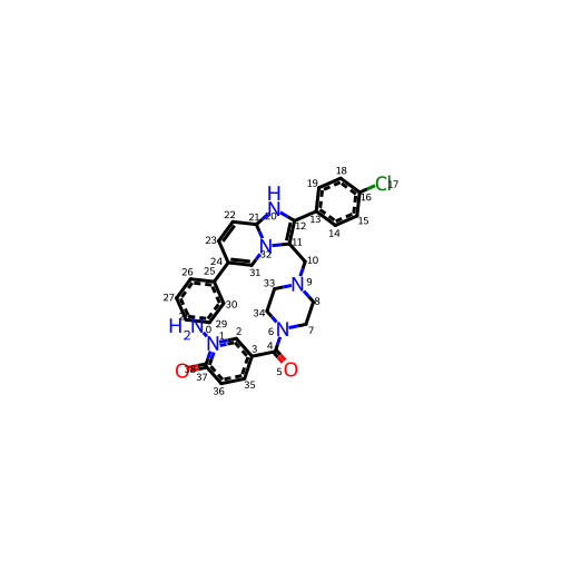 Nn1cc(C(=O)N2CCN(CC3=C(c4ccc(Cl)cc4)NC4C=CC(c5ccccc5)=CN34)CC2)ccc1=O